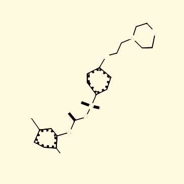 CCOC(=O)c1ccc(Cl)cc1NC(=O)NS(=O)(=O)c1ccc(OCCN2CCOCC2)cc1